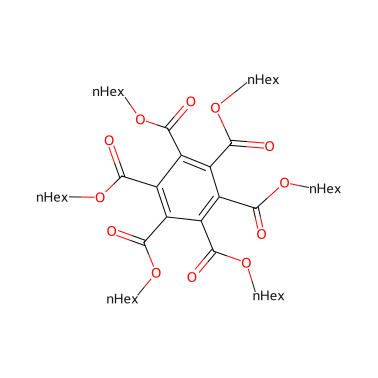 CCCCCCOC(=O)c1c(C(=O)OCCCCCC)c(C(=O)OCCCCCC)c(C(=O)OCCCCCC)c(C(=O)OCCCCCC)c1C(=O)OCCCCCC